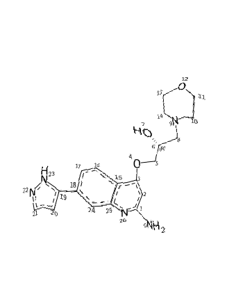 Nc1cc(OC[C@H](O)CN2CCOCC2)c2ccc(-c3ccn[nH]3)cc2n1